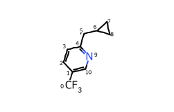 FC(F)(F)c1ccc([CH]C2CC2)nc1